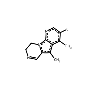 Cc1c(Cl)cnc2c1c(C)c1n2CCN=C1